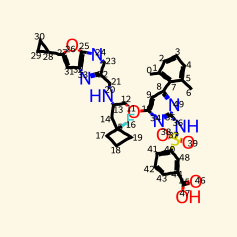 Cc1cccc(C)c1-c1cc(OCC(CC2(F)CCC2)NCc2cnc3oc(C4CC4)cc3n2)nc(NS(=O)(=O)c2cccc(C(=O)O)c2)n1